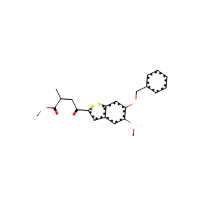 COC(=O)C(C)CC(=O)c1cc2cc(OC)c(OCc3ccccc3)cc2s1